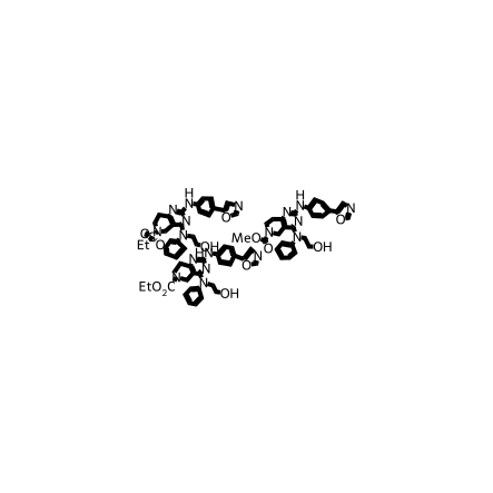 CCOC(=O)N1CCc2nc(Nc3ccc(-c4cnco4)cc3)nc(N(CCO)c3ccccc3)c2C1.CCS(=O)(=O)N1CCc2nc(Nc3ccc(-c4cnco4)cc3)nc(N(CCO)c3ccccc3)c2C1.COC(=O)N1CCc2nc(Nc3ccc(-c4cnco4)cc3)nc(N(CCO)c3ccccc3)c2C1